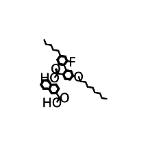 CCCCCCCCOc1ccc(C(=O)O)c(-c2ccc(CCCCC)cc2F)c1.O=C(O)c1ccc2ccccc2c1